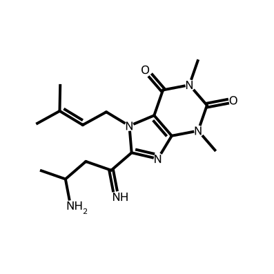 CC(C)=CCn1c(C(=N)CC(C)N)nc2c1c(=O)n(C)c(=O)n2C